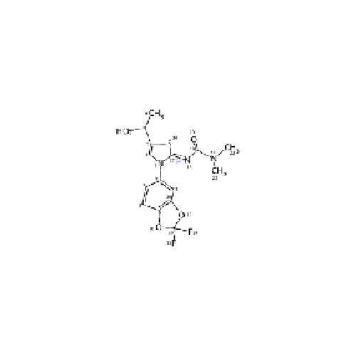 CC(O)c1cn(-c2ccc3c(c2)OC(F)(F)O3)/c(=N/C(=O)N(C)C)s1